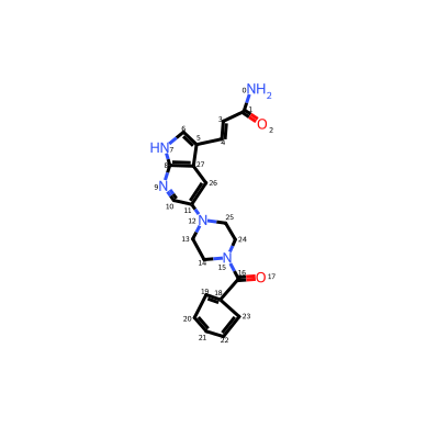 NC(=O)C=Cc1c[nH]c2ncc(N3CCN(C(=O)c4ccccc4)CC3)cc12